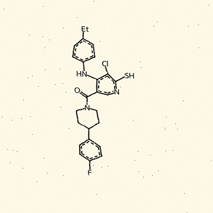 CCc1ccc(Nc2c(C(=O)N3CCC(c4ccc(F)cc4)CC3)cnc(S)c2Cl)cc1